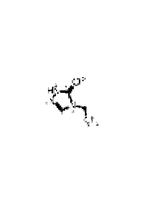 O=c1[nH]ncn1CC(F)(F)F